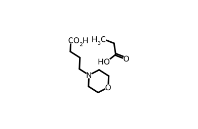 CCC(=O)O.O=C(O)CCCN1CCOCC1